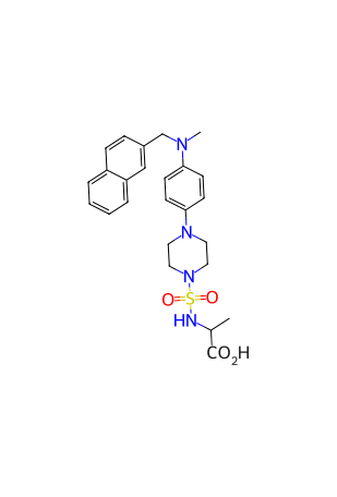 CC(NS(=O)(=O)N1CCN(c2ccc(N(C)Cc3ccc4ccccc4c3)cc2)CC1)C(=O)O